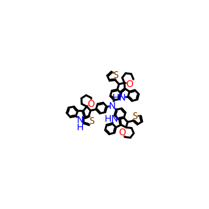 c1csc(C(c2ccc(N(c3ccc(C(c4cccs4)C4(c5c[nH]c6ccccc56)CCCCO4)cc3)c3ccc(C(c4cccs4)C4(c5c[nH]c6ccccc56)CCCCO4)cc3)cc2)C2(c3c[nH]c4ccccc34)CCCCO2)c1